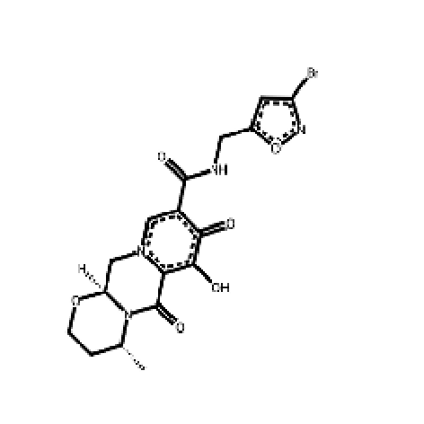 C[C@@H]1CCO[C@H]2Cn3cc(C(=O)NCc4cc(Br)no4)c(=O)c(O)c3C(=O)N12